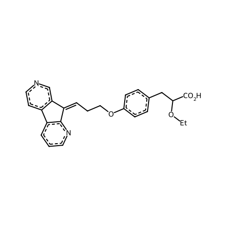 CCOC(Cc1ccc(OCC/C=C2/c3cnccc3-c3cccnc32)cc1)C(=O)O